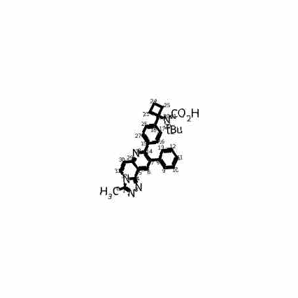 Cc1nnc2c3cc(-c4ccccc4)c(-c4ccc(C5(N(C(=O)O)C(C)(C)C)CCC5)cc4)nc3ccn12